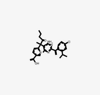 C=C(O)c1ccc(C(C)(C(=O)CCC)c2c(C)nc(C(=C)c3ccc(Cl)cc3C(C)C)nc2N)nc1